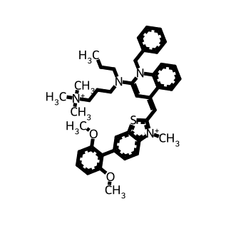 CCCN(CCC[N+](C)(C)C)C1=CC(=Cc2sc3cc(-c4c(OC)cccc4OC)ccc3[n+]2C)c2ccccc2N1Cc1ccccc1